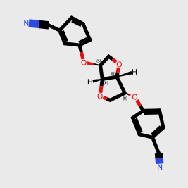 N#Cc1ccc(O[C@@H]2CO[C@H]3[C@@H]2OC[C@@H]3Oc2cccc(C#N)c2)cc1